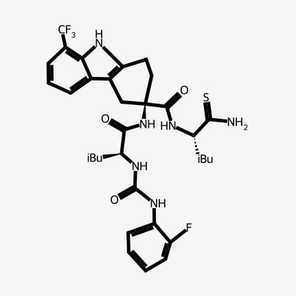 CCC(C)[C@H](NC(=O)Nc1ccccc1F)C(=O)N[C@]1(C(=O)N[C@H](C(N)=S)C(C)CC)CCc2[nH]c3c(C(F)(F)F)cccc3c2C1